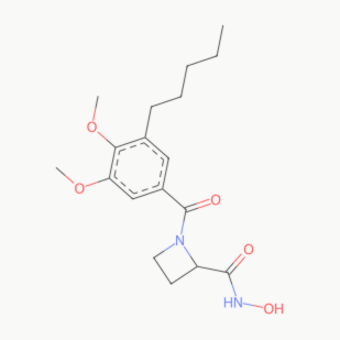 CCCCCc1cc(C(=O)N2CCC2C(=O)NO)cc(OC)c1OC